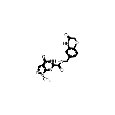 Cn1ncc2c(=O)[nH]c(C(=O)NCc3ccc4c(c3)NC(=O)CO4)nc21